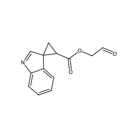 O=CCOC(=O)C1CC12C=Nc1ccccc12